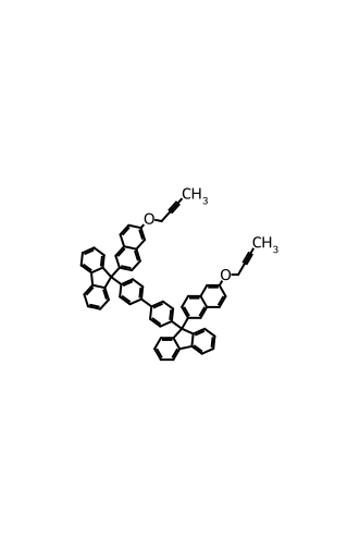 CC#CCOc1ccc2cc(C3(c4ccc(-c5ccc(C6(c7ccc8cc(OCC#CC)ccc8c7)c7ccccc7-c7ccccc76)cc5)cc4)c4ccccc4-c4ccccc43)ccc2c1